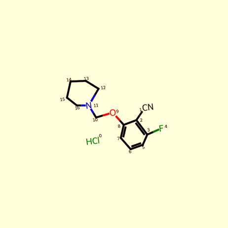 Cl.N#Cc1c(F)cccc1OCN1CCCCC1